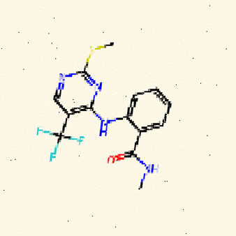 CNC(=O)c1ccccc1Nc1nc(SC)ncc1C(F)(F)F